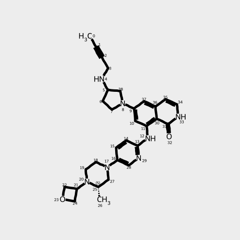 CC#CCNC1CCN(c2cc(Nc3ccc(N4CCN(C5COC5)[C@@H](C)C4)cn3)c3c(=O)[nH]ccc3c2)C1